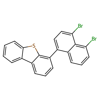 Brc1cccc2c(-c3cccc4c3sc3ccccc34)ccc(Br)c12